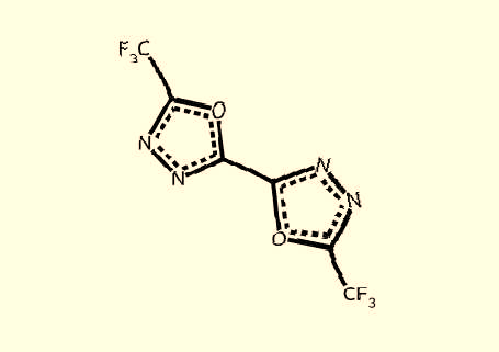 FC(F)(F)c1nnc(-c2nnc(C(F)(F)F)o2)o1